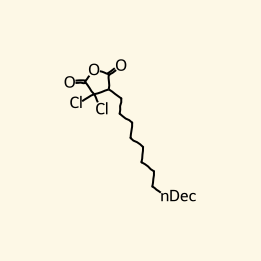 CCCCCCCCCCCCCCCCCCC1C(=O)OC(=O)C1(Cl)Cl